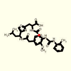 COc1cc(CC(=O)NC(CC(C)C)c2coc(CC(NC(C)=O)C(=O)O)n2)ccc1NC(=O)Nc1ccccc1C